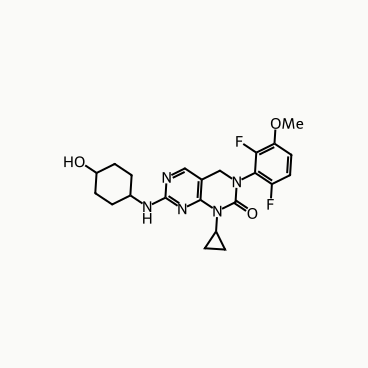 COc1ccc(F)c(N2Cc3cnc(NC4CCC(O)CC4)nc3N(C3CC3)C2=O)c1F